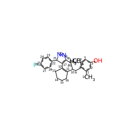 Cc1cc(O)cc(C)c1CC1C2=C(CCCC2)C2=C(N=NC2c2ccc(F)cc2)[C@@H]1C